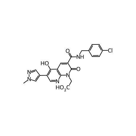 Cn1cc(-c2cnc3c(cc(C(=O)NCc4ccc(Cl)cc4)c(=O)n3CC(=O)O)c2O)cn1